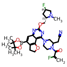 C=C(F)C(=O)N1CCN(c2nc(OC[C@@H]3C[C@@H](F)CN3C)nc3cc(B4OC(C)(C)C(C)(C)O4)c4c(c23)OCC4)CC1CC#N